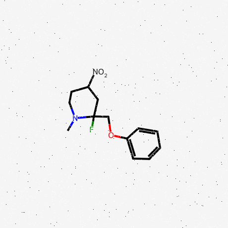 CN1CCC([N+](=O)[O-])CC1(F)COc1ccccc1